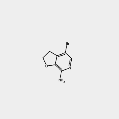 Nc1ncc(Br)c2c1OCC2